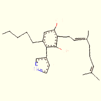 CCCCCc1cc(O)c(C/C=C(\C)CCC=C(C)C)c(O)c1-c1cc[nH]c1